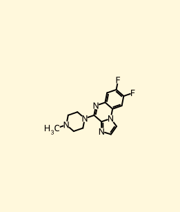 CN1CCN(c2nc3cc(F)c(F)cc3n3ccnc23)CC1